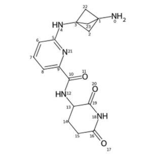 NC12CC(Nc3cccc(C(=O)NC4CCC(=O)NC4=O)n3)(C1)C2